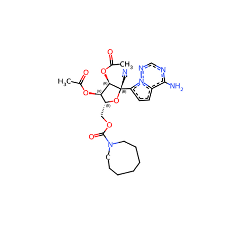 CC(=O)O[C@H]1[C@@H](OC(C)=O)[C@](C#N)(c2ccc3c(N)ncnn23)O[C@@H]1COC(=O)N1CCCCCCC1